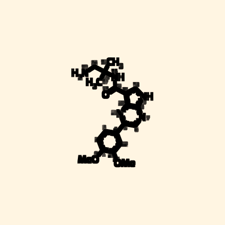 COc1ccc(-c2cnc3[nH]cc(C(=O)NC(C)(C)CN)c3n2)cc1OC